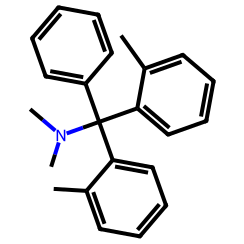 Cc1ccccc1C(c1ccccc1)(c1ccccc1C)N(C)C